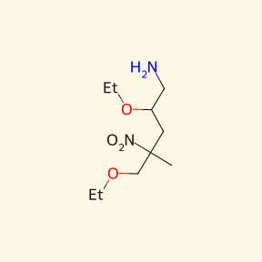 CCOCC(C)(CC(CN)OCC)[N+](=O)[O-]